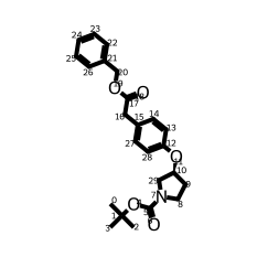 CC(C)(C)OC(=O)N1CC[C@H](Oc2ccc(CC(=O)OCc3ccccc3)cc2)C1